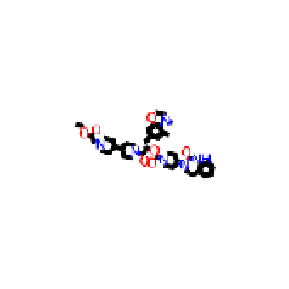 CCOC(=O)CN1CCC(C2CCN(C(=O)[C@@H](Cc3cc(C)c4c(c3)OCCN4C)OC(=O)N3CCC(N4CCc5ccccc5NC4=O)CC3)CC2)CC1